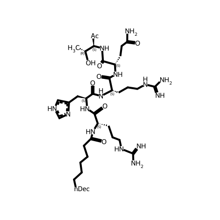 CCCCCCCCCCCCCCCC(=O)N[C@@H](CCCNC(=N)N)C(=O)N[C@@H](Cc1c[nH]cn1)C(=O)N[C@@H](CCCNC(=N)N)C(=O)N[C@@H](CCC(N)=O)C(=O)N[C@H](C(C)=O)[C@@H](C)O